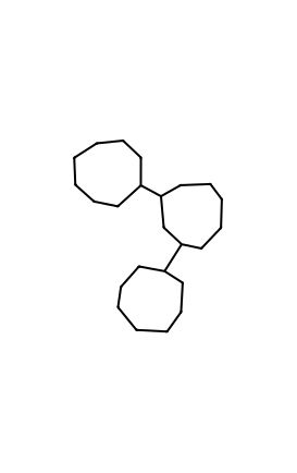 C1CCCC(C2CCCCCC(C3CCCCCCC3)C2)CCC1